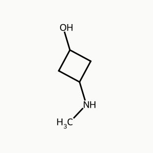 CNC1CC(O)C1